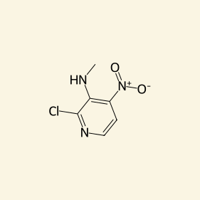 CNc1c([N+](=O)[O-])ccnc1Cl